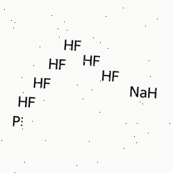 F.F.F.F.F.F.[NaH].[P]